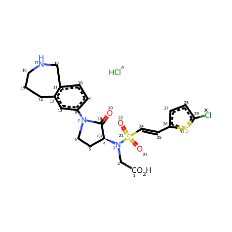 Cl.O=C(O)CN([C@H]1CCN(c2ccc3c(c2)CCCNC3)C1=O)S(=O)(=O)C=Cc1ccc(Cl)s1